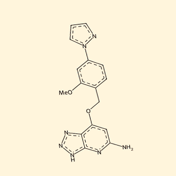 COc1cc(-n2cccn2)ccc1COc1cc(N)nc2[nH]nnc12